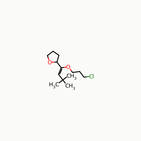 CC(C)(C)C=C(OCCCCl)C1CCCO1